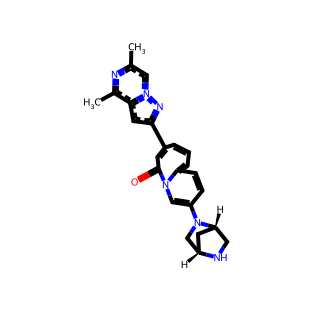 Cc1cn2nc(C3=C\C(=O)N4C=C(N5C[C@@H]6C[C@H]5CN6)C=C\C4=C/C=C/3)cc2c(C)n1